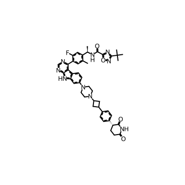 Cc1cc(-c2ncnc3[nH]c4cc(N5CCN(C6CC(c7ccc([C@H]8CCC(=O)NC8=O)cc7)C6)CC5)ccc4c23)c(F)cc1[C@@H](C)NC(=O)c1nc(C(C)(C)C)no1